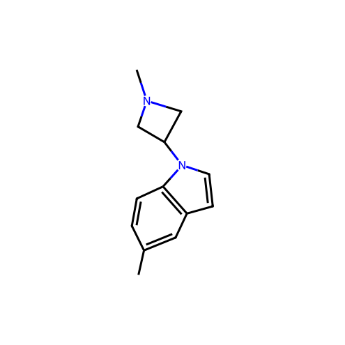 Cc1ccc2c(ccn2C2CN(C)C2)c1